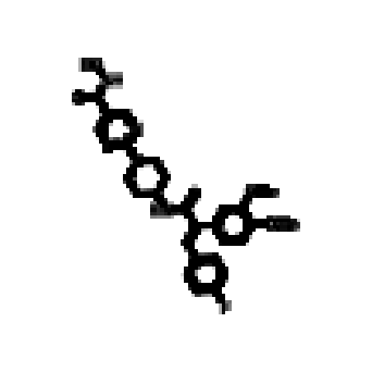 COc1ccc(/C(=C\c2ccc(F)cc2)C(=O)NC2CCN(c3ncc(C(=O)NO)cn3)CC2)cc1OC